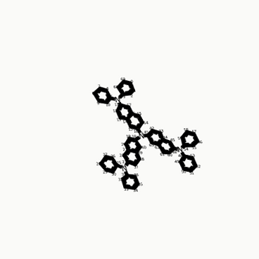 c1ccc(N(c2ccccc2)c2ccc3cc(N(c4ccc5cc(N(c6ccccc6)c6ccccc6)ccc5c4)c4ccc5cc(N(c6ccccc6)c6ccccc6)ccc5c4)ccc3c2)cc1